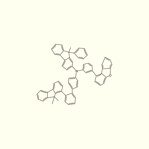 CC1(C)c2ccccc2-c2cccc(-c3ccccc3-c3ccc(N(c4cccc(-c5cccc6oc7ccccc7c56)c4)c4ccc5c(c4)C(C)(c4ccccc4)c4ccccc4-5)cc3)c21